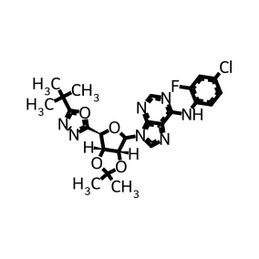 CC1(C)O[C@@H]2[C@@H](c3nnc(C(C)(C)C)o3)OC(n3cnc4c(Nc5ccc(Cl)cc5F)ncnc43)[C@@H]2O1